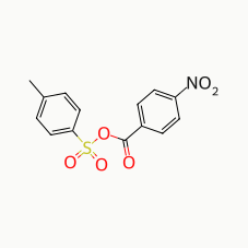 Cc1ccc(S(=O)(=O)OC(=O)c2ccc([N+](=O)[O-])cc2)cc1